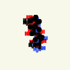 CC(C)[C@H](NC(=O)[C@H](CC(=O)O)NC(=O)[C@H](Cc1ccccc1)NC(=O)[C@H](Cc1ccccc1)NC(=O)[C@H](Cc1c[nH]c2ccccc12)NC(=O)[C@H](Cc1ccc(O)cc1)NC(=O)[C@H](CO)NC(=O)[C@H](Cc1ccc(O)cc1)NC(=O)CNC(=O)[C@H](Cc1c[nH]cn1)NC(=O)[C@H](Cc1ccc(O)cc1)NC(=O)[C@H](CO)NC(=O)[C@H](CCCNC(=N)N)NC(=O)[C@@H](N)[C@@H](C)O)C(=O)O